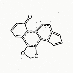 O=C1C=CC=c2c3c(c4c5c(ccc4c21)=CC=C5)OCO3